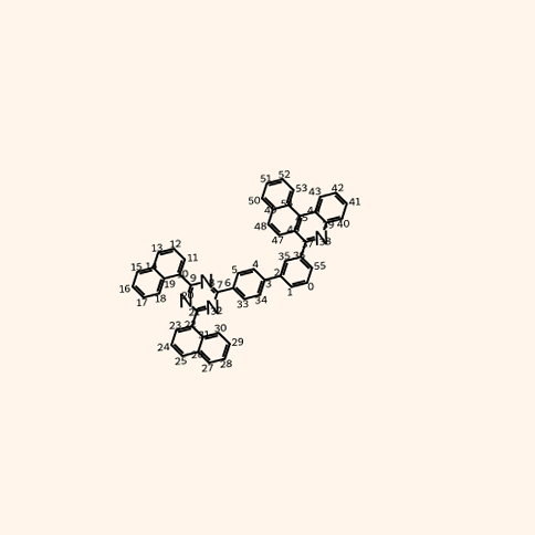 c1cc(-c2ccc(-c3nc(-c4cccc5ccccc45)nc(-c4cccc5ccccc45)n3)cc2)cc(-c2nc3ccccc3c3c2ccc2ccccc23)c1